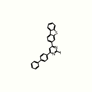 Ic1nc(-c2ccc(-c3ccccc3)cc2)cc(-c2ccc3c(c2)sc2ccccc23)n1